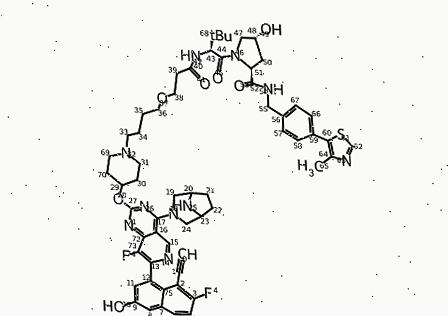 C#Cc1c(F)ccc2cc(O)cc(-c3ncc4c(N5CC6CCC(C5)N6)nc(OC5CCN(CCCCOCCC(=O)N[C@H](C(=O)N6C[C@H](O)C[C@H]6C(=O)NCc6ccc(-c7scnc7C)cc6)C(C)(C)C)CC5)nc4c3F)c12